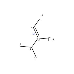 CC(C)/C(F)=C/I